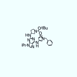 CC(C)n1cnc2c(Nc3cnn(Cc4ccccc4)c3)nc(N[C@H]3CCN(C(=O)OC(C)(C)C)C3)nc21